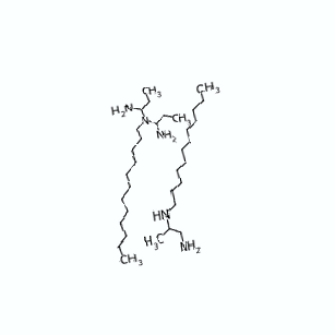 CCCCCCCCCCCCN(C(N)CC)C(N)CC.CCCCCCCCCCCCNC(C)CN